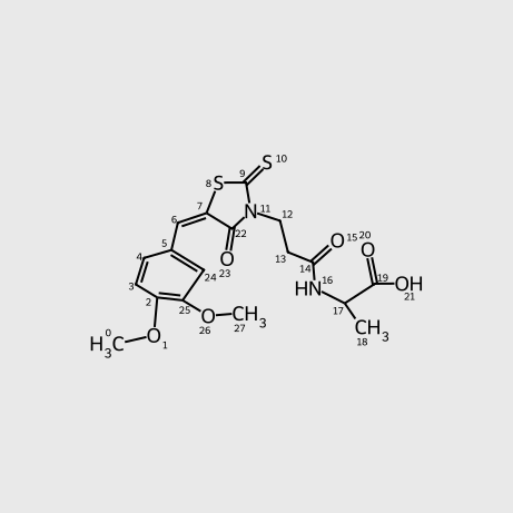 COc1ccc(/C=C2/SC(=S)N(CCC(=O)NC(C)C(=O)O)C2=O)cc1OC